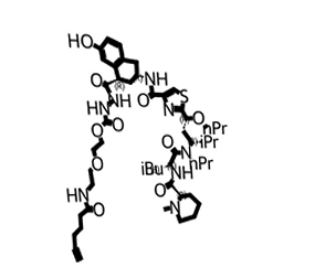 C#CCCCC(=O)NCCOCCOC(=O)NNC(=O)[C@@H]1C[C@@H](NC(=O)c2csc([C@@H](C[C@H](C(C)C)N(CCC)C(=O)[C@@H](NC(=O)[C@H]3CCCCN3C)[C@@H](C)CC)OCCC)n2)Cc2ccc(O)cc21